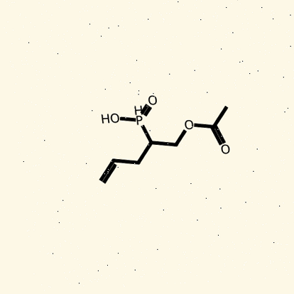 C=CCC(COC(C)=O)[PH](=O)O